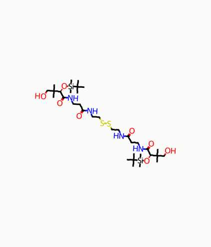 CC(C)(CO)[C@@H](O[Si](C)(C)C(C)(C)C)C(=O)NCCC(=O)NCCSSCCNC(=O)CCNC(=O)[C@H](O[Si](C)(C)C(C)(C)C)C(C)(C)CO